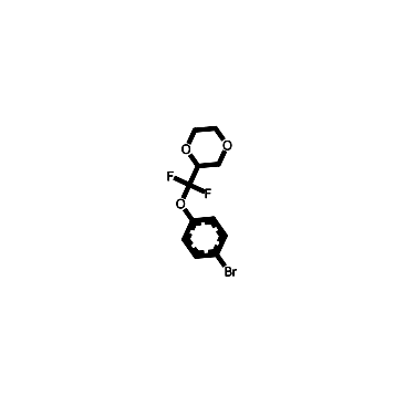 FC(F)(Oc1ccc(Br)cc1)C1COCCO1